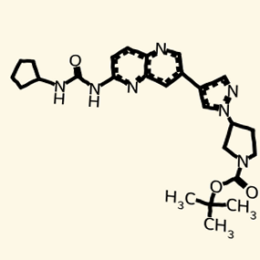 CC(C)(C)OC(=O)N1CCC(n2cc(-c3cnc4ccc(NC(=O)NC5CCCC5)nc4c3)cn2)C1